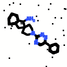 N[C@@H]1c2ccccc2CC12CCN(c1ncc(-c3ccccc3)nn1)CC2